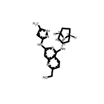 Cc1cc(Nc2cc3nc(CO)ccc3c(N[C@H]3C[C@H]4CC[C@@H](C3)N4C(=O)O)n2)n[nH]1